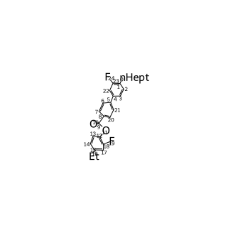 CCCCCCCc1ccc(-c2ccc(C(=O)Oc3ccc(CC)cc3F)cc2)cc1F